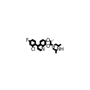 CC1CN(C(=O)[C@@H](C)Oc2ccc3c(-c4ccc(F)cc4Cl)ccnc3c2)CC(C)N1